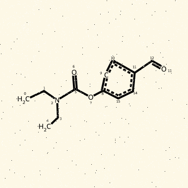 [CH2][CH]N([CH][CH2])C(=O)Oc1ccc(C=O)cc1